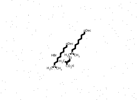 Br.CCC=C(C)C(=O)O.CCCCCCCCCCCCCCCCCCN(C)C.CCCCCCCCCCCCCCCCCCN(C)C